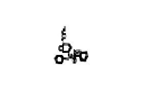 N=S(=O)(c1ccccc1)N(Cc1ccccc1)[C@@H]1CC[C@@H](COSI)OC1